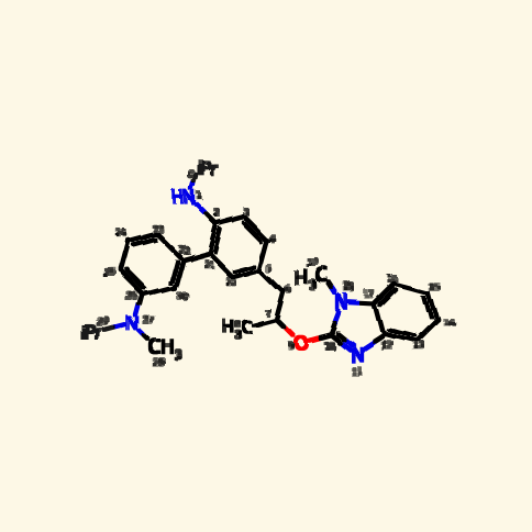 CC(C)Nc1ccc(CC(C)Oc2nc3ccccc3n2C)cc1-c1cccc(N(C)C(C)C)c1